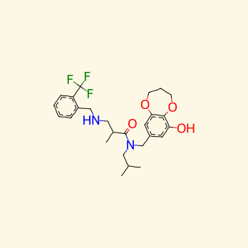 CC(C)CN(Cc1cc(O)c2c(c1)OCCCO2)C(=O)C(C)CNCc1ccccc1C(F)(F)F